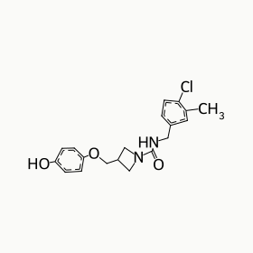 Cc1cc(CNC(=O)N2CC(COc3ccc(O)cc3)C2)ccc1Cl